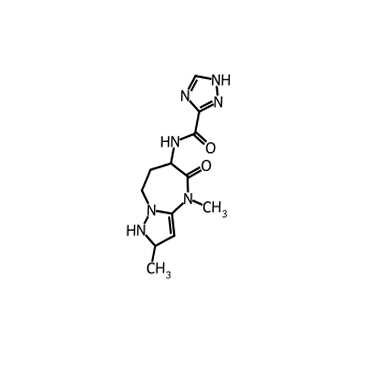 CC1C=C2N(CCC(NC(=O)c3nc[nH]n3)C(=O)N2C)N1